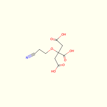 N#CCCOC(CC(=O)O)(CC(=O)O)C(=O)O